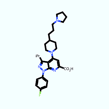 CC(C)c1nn(-c2ccc(F)cc2)c2nc(C(=O)O)cc(N3CCC(CCCN4CCCC4)CC3)c12